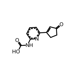 O=C1C=C(c2cccc(NC(=O)O)n2)CC1